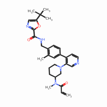 C=CC(=O)N(C)C1CCCN(c2cnccc2-c2ccc(CNC(=O)c3ncc(C(C)(C)C)o3)c(C)c2)C1